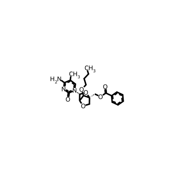 CCCCOC1C2OC[C@]1(COC(=O)c1ccccc1)O[C@H]2n1cc(C)c(N)nc1=O